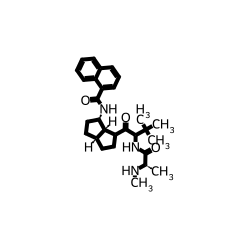 CN[C@@H](C)C(=O)NC(C(=O)C1CC[C@H]2CC[C@H](NC(=O)c3cccc4ccccc34)[C@@H]12)C(C)(C)C